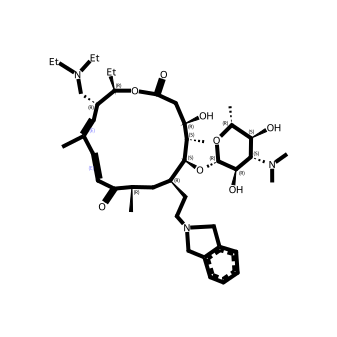 CC[C@H]1OC(=O)C[C@@H](O)[C@H](C)[C@@H](O[C@@H]2O[C@H](C)[C@@H](O)[C@H](N(C)C)[C@H]2O)[C@@H](CCN2Cc3ccccc3C2)C[C@@H](C)C(=O)/C=C/C(C)=C/[C@@H]1CN(CC)CC